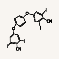 N#Cc1c(I)cc(Oc2ccc(Oc3cc(I)c(C#N)c(I)c3)cc2)cc1I